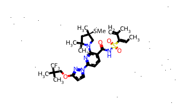 C=C(C)/C(=C\C)S(=O)(=O)NC(=O)c1ccc(-n2ccc(OCC(C)(C)C(F)(F)F)n2)nc1N1C[C@](C)(SC)CC1(C)C